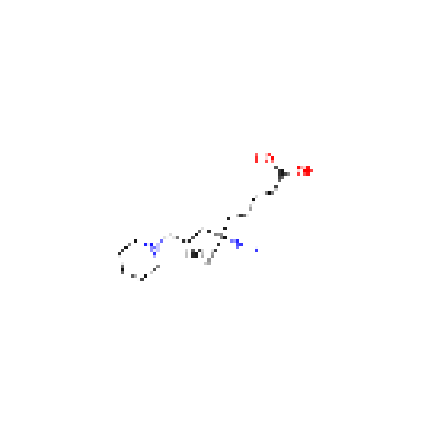 NC(CCCCB(O)O)(CCCN1CCCCC1)C(=O)O